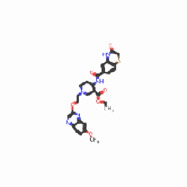 CCOC(=O)C1CN(CCOc2cnc3ccc(OC)cc3n2)CCC1NC(=O)c1ccc2c(c1)NC(=O)CS2